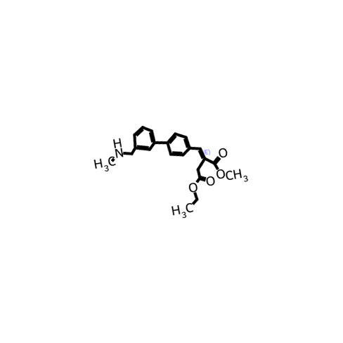 CCOC(=O)C/C(=C\c1ccc(-c2cccc(CNC)c2)cc1)C(=O)OC